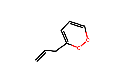 C=CCC1=CC=COO1